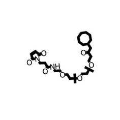 CC(C)(CCOCCNC(=O)CCN1C(=O)C=CC1=O)OCCC(C)(C)OCCC(=O)CC1CCCCCCC1